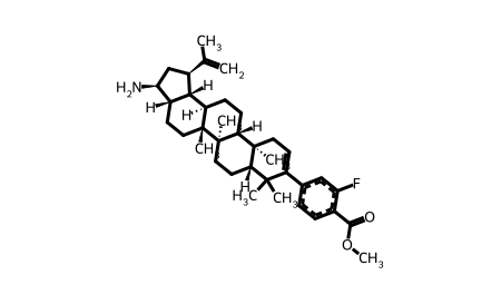 C=C(C)[C@@H]1C[C@H](N)[C@H]2CC[C@]3(C)[C@H](CC[C@@H]4[C@@]5(C)CC=C(c6ccc(C(=O)OC)c(F)c6)C(C)(C)[C@@H]5CC[C@]43C)[C@H]21